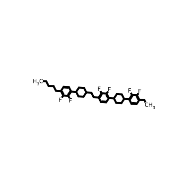 CCCCCc1ccc(C2CCC(CCc3ccc(C4CCC(c5ccc(CC)c(F)c5F)CC4)c(F)c3F)CC2)c(F)c1F